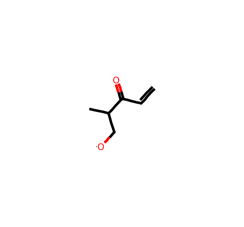 C=CC(=O)C(C)C[O]